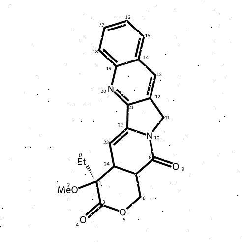 CC[C@@]1(OC)C(=O)OCC2C(=O)N3Cc4cc5ccccc5nc4C3=CC21